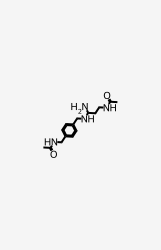 CC(=O)NCCC(N)NCc1ccc(CNC(C)=O)cc1